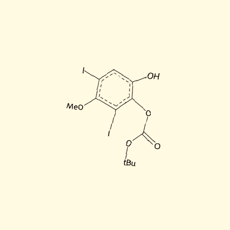 COc1c(I)cc(O)c(OC(=O)OC(C)(C)C)c1I